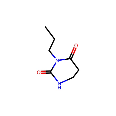 CCCN1C(=O)CCNC1=O